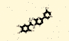 O=C(Nc1ccc(-c2cncc(F)c2)nc1C(F)(F)F)c1cc(F)c(F)cc1F